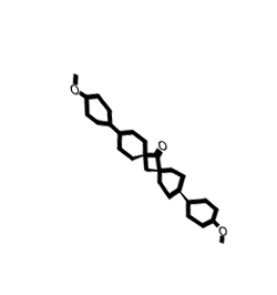 COC1CCC(C2CC[C@]3(CC2)C[C@@]2(CC[C@H](C4CCC(OC)CC4)CC2)C3=O)CC1